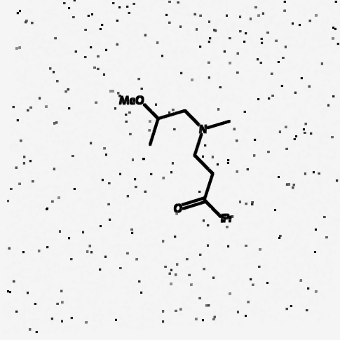 COC(C)CN(C)CCC(=O)C(C)C